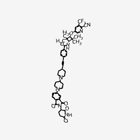 CC1(C)[C@H](NC(=O)c2ccc(C#CC3CCN(C4CCN(c5ccc6c(c5)C(=O)N(C5CCC(=O)NC5=O)C6=O)CC4)CC3)cc2)C(C)(C)[C@H]1Oc1cnc(C#N)c(C(F)(F)F)c1